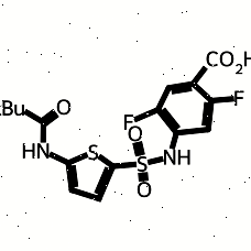 CC(C)(C)C(=O)Nc1ccc(S(=O)(=O)Nc2cc(F)c(C(=O)O)cc2F)s1